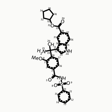 COc1cc(C(=O)NS(=O)(=O)c2ccccc2)ccc1C(C)(N)c1c[nH]c2ccc(C(=O)OC3CCCC3)cc12